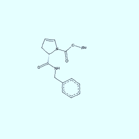 CC(C)(C)OC(=O)N1C=CC[C@H]1C(=O)NCc1ccccc1